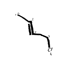 [CH]C=CCCl